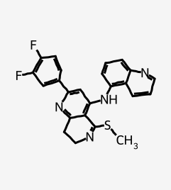 CSC1=NCCc2nc(-c3ccc(F)c(F)c3)cc(Nc3cccc4ncccc34)c21